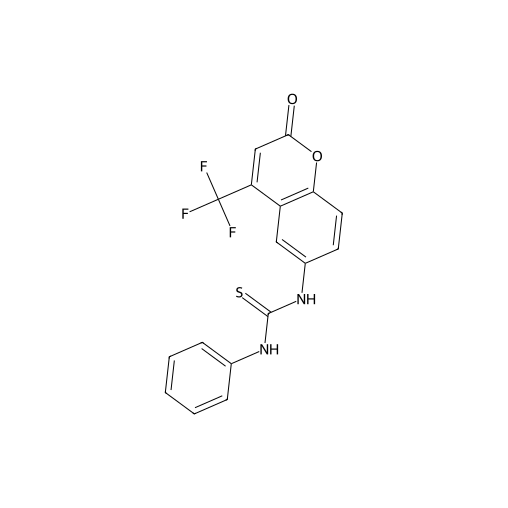 O=c1cc(C(F)(F)F)c2cc(NC(=S)Nc3ccccc3)ccc2o1